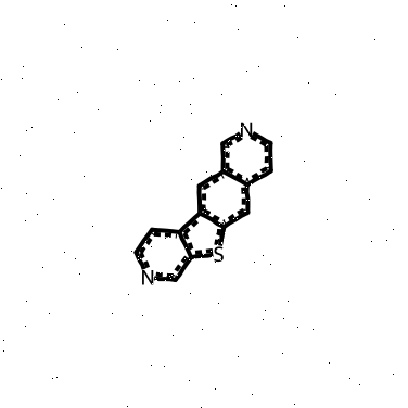 c1cc2cc3sc4cnccc4c3cc2cn1